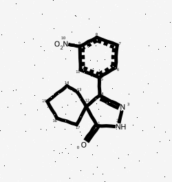 O=C1NN=C(c2cccc([N+](=O)[O-])c2)C12CCCCC2